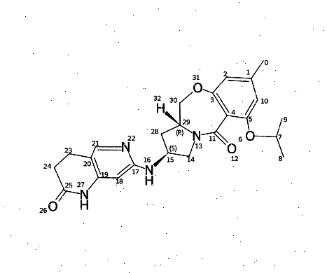 Cc1cc2c(c(OC(C)C)c1)C(=O)N1C[C@@H](Nc3cc4c(cn3)CCC(=O)N4)C[C@@H]1CO2